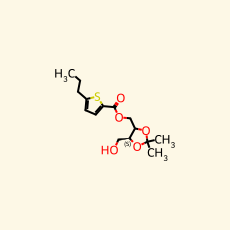 CCCc1ccc(C(=O)OCC2OC(C)(C)O[C@H]2CO)s1